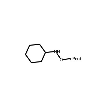 CCCCCONC1CCCCC1